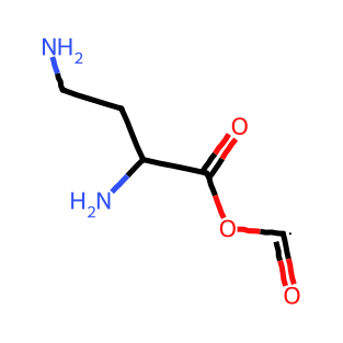 NCCC(N)C(=O)O[C]=O